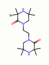 CCC1(C)NC(C)(C)CN(CCN2CC(C)(C)NC(C)(C)C2=O)C1=O